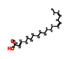 CC/C=C\C/C=C\CCCCCCCCCCC=CC(=O)O